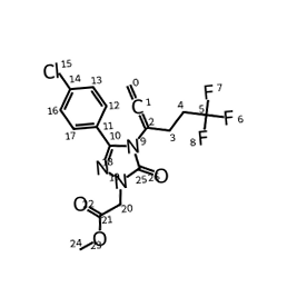 C=C=C(CCC(F)(F)F)n1c(-c2ccc(Cl)cc2)nn(CC(=O)OC)c1=O